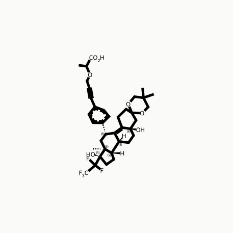 CC(OCC#Cc1ccc([C@H]2C[C@@]3(C)[C@@H](CC[C@@]3(O)C(F)(F)C(F)(F)F)[C@@H]3CC[C@@]4(O)CC5(CCC4=C32)OCC(C)(C)CO5)cc1)C(=O)O